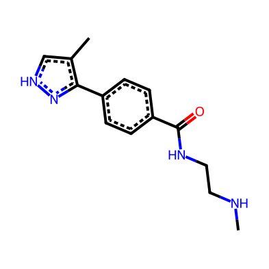 CNCCNC(=O)c1ccc(-c2n[nH]cc2C)cc1